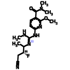 CN/C(=N\C(C)[C@H](F)CC#N)Nc1ccc(C(=O)N(C)C)c(OC)n1